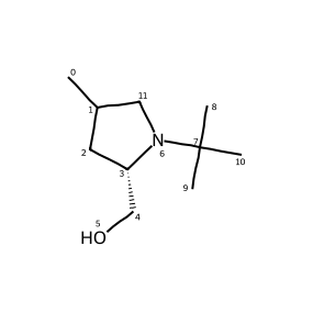 CC1C[C@@H](CO)N(C(C)(C)C)C1